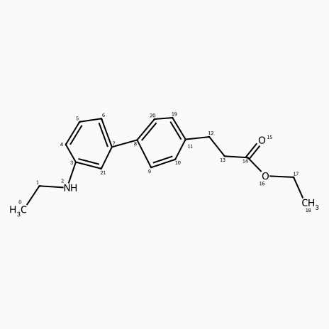 CCNc1cccc(-c2ccc(CCC(=O)OCC)cc2)c1